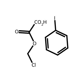 Ic1ccccc1.O=C(O)C(=O)OCCl